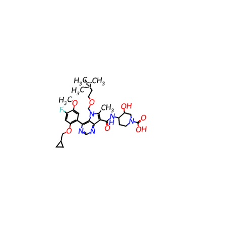 COc1cc(-c2ncnc3c(C(=O)NC4CCN(C(=O)O)CC4O)c(C)n(COCC[Si](C)(C)C)c23)c(OCC2CC2)cc1F